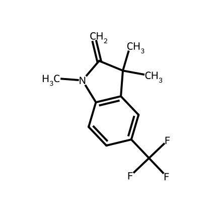 C=C1N(C)c2ccc(C(F)(F)F)cc2C1(C)C